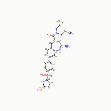 CCCN(CCC)C(=O)C1=Cc2ccc(-c3ccc(S(=O)(=O)N4CCC(O)C4)cc3)cc2N=C(N)C1